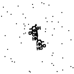 CC(CC(C)NC(=O)O)NCCCCNC(C)CC(C)NC(=O)O